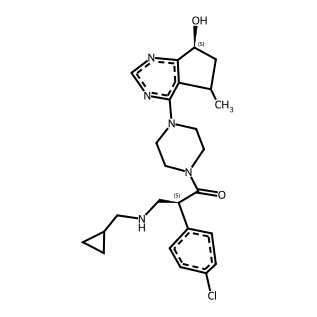 CC1C[C@H](O)c2ncnc(N3CCN(C(=O)[C@H](CNCC4CC4)c4ccc(Cl)cc4)CC3)c21